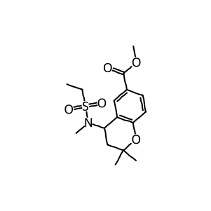 CCS(=O)(=O)N(C)C1CC(C)(C)Oc2ccc(C(=O)OC)cc21